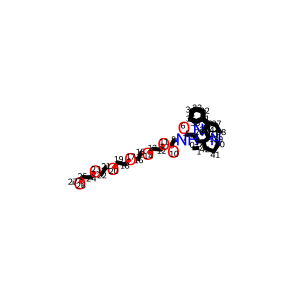 CC[C@@]12C=C(C(=O)NCC(=O)OCCOCCOCCOCCOCCOC)n3c4c(c5ccccc53)CCN(CCC1)[C@H]42